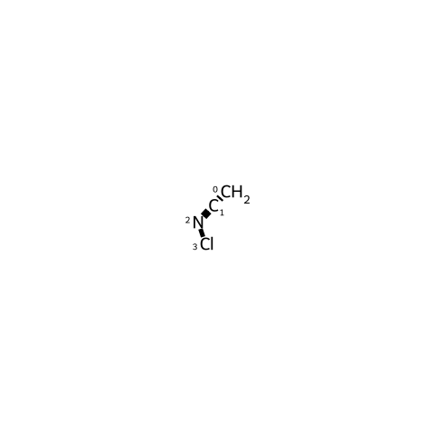 C=C=NCl